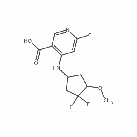 COC1CC(Nc2cc(Cl)ncc2C(=O)O)CC1(F)F